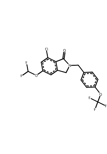 O=C1c2c(Cl)cc(OC(F)F)cc2CN1Cc1ccc(OC(F)(F)F)cc1